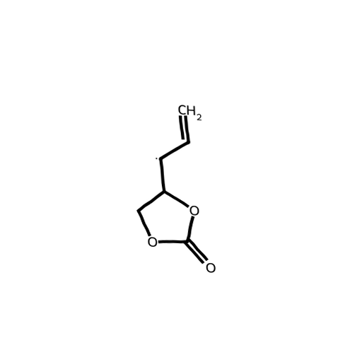 C=C[CH]C1COC(=O)O1